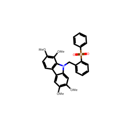 COc1cc2c3ccc(OC)c(OC)c3n(Cc3ccccc3S(=O)(=O)c3ccccc3)c2cc1OC